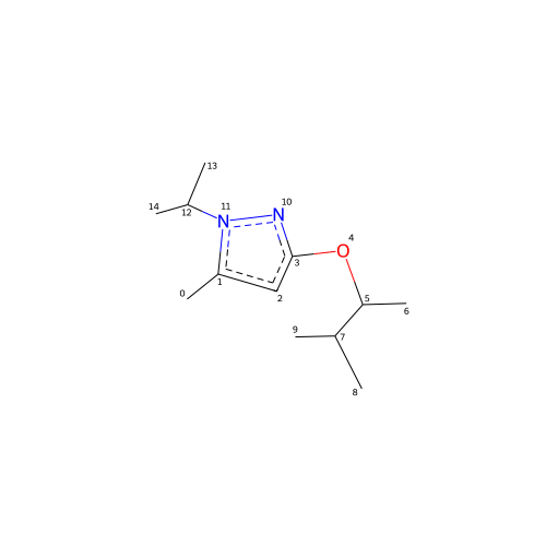 Cc1cc(OC(C)C(C)C)nn1C(C)C